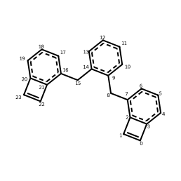 C1=Cc2c1cccc2Cc1ccccc1Cc1cccc2c1C=C2